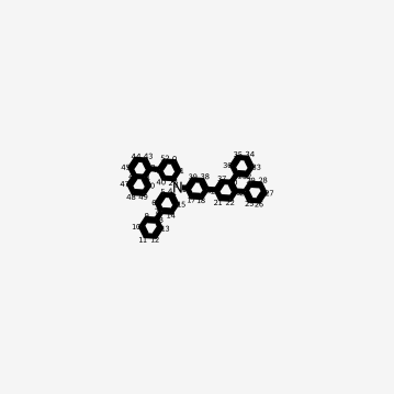 C1=CC(N(c2ccc(-c3ccccc3)cc2)c2ccc(-c3ccc(-c4ccccc4)c(-c4ccccc4)c3)cc2)CC(c2cccc3ccccc23)=C1